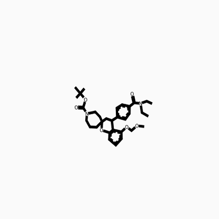 CCN(CC)C(=O)c1ccc(C2CC3(CCCN(C(=O)OC(C)(C)C)CC3)Oc3cccc(OCOC)c32)cc1